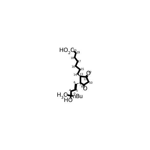 CCCCC(C)(O)C/C=C/[C@H]1C(=O)CC(=O)[C@@H]1CCCCCCC(=O)O